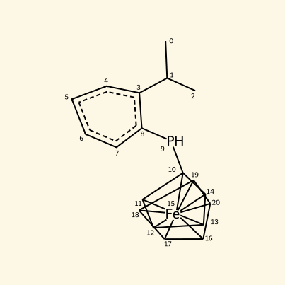 CC(C)c1ccccc1P[C]12[CH]3[CH]4[CH]5[CH]1[Fe]45321678[CH]2[CH]1[CH]6[CH]7[CH]28